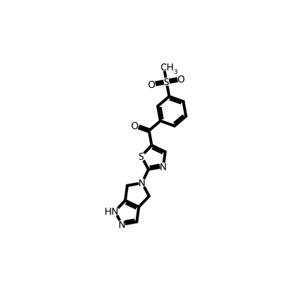 CS(=O)(=O)c1cccc(C(=O)c2cnc(N3Cc4cn[nH]c4C3)s2)c1